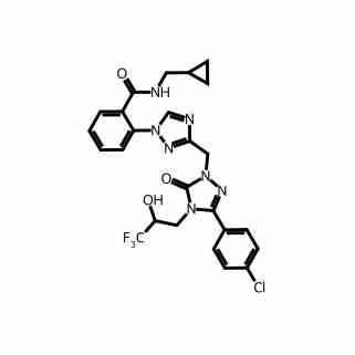 O=C(NCC1CC1)c1ccccc1-n1cnc(Cn2nc(-c3ccc(Cl)cc3)n(CC(O)C(F)(F)F)c2=O)n1